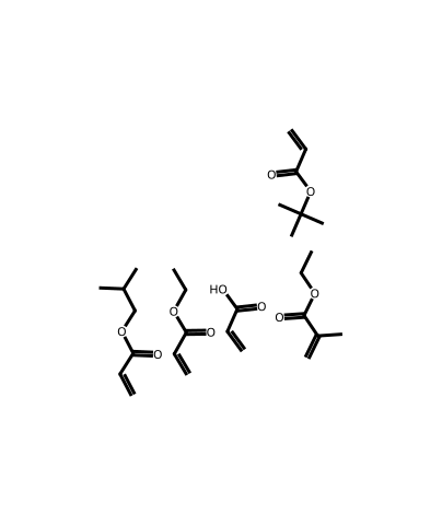 C=C(C)C(=O)OCC.C=CC(=O)O.C=CC(=O)OC(C)(C)C.C=CC(=O)OCC.C=CC(=O)OCC(C)C